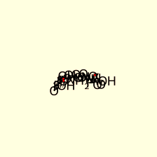 COc1c(N2CCN(C(=O)OCOC(=O)CCC(N)C(=O)OCC(=O)[C@@]3(O)CCC4C5CCC6=CC(=O)C=C[C@]6(C)C5[C@@H](O)C[C@@]43C)C(C)C2)c(F)cc2c(=O)c(C(=O)O)cn(C3CC3)c12